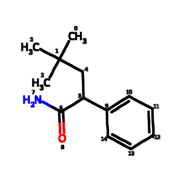 CC(C)(C)CC(C(N)=O)c1cc[c]cc1